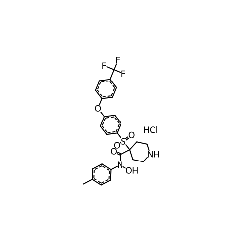 Cc1ccc(N(O)C(=O)C2(S(=O)(=O)c3ccc(Oc4ccc(C(F)(F)F)cc4)cc3)CCNCC2)cc1.Cl